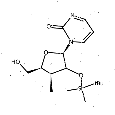 C[C@@H]1C(O[Si](C)(C)C(C)(C)C)[C@H](n2cccnc2=O)O[C@@H]1CO